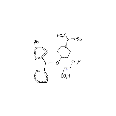 CCCCC(C(=O)O)N1CCC(OC(c2ccccc2)c2ccc(C(C)(C)C)cc2)CC1.O=C(O)/C=C/C(=O)O